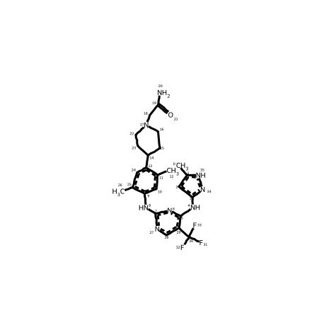 Cc1cc(Nc2nc(Nc3cc(C)c(C4CCN(CC(N)=O)CC4)cc3C)ncc2C(F)(F)F)n[nH]1